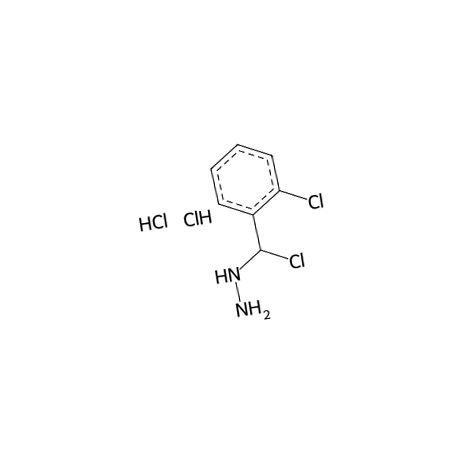 Cl.Cl.NNC(Cl)c1ccccc1Cl